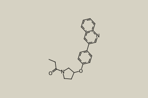 CCC(=O)N1CCC(Oc2ccc(-c3cnc4ccccc4c3)cc2)C1